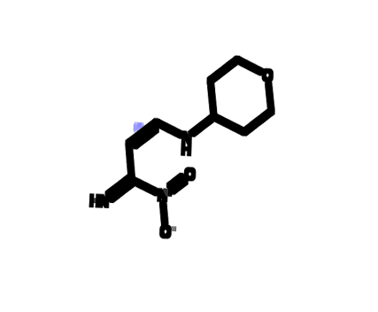 N=C(/C=C\NC1CCOCC1)[N+](=O)[O-]